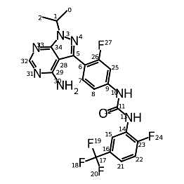 CC(C)n1nc(-c2ccc(NC(=O)Nc3cc(C(F)(F)F)ccc3F)cc2F)c2c(N)ncnc21